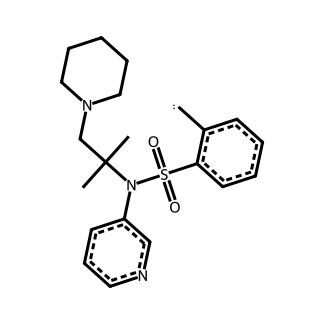 [CH]c1ccccc1S(=O)(=O)N(c1cccnc1)C(C)(C)CN1CCCCC1